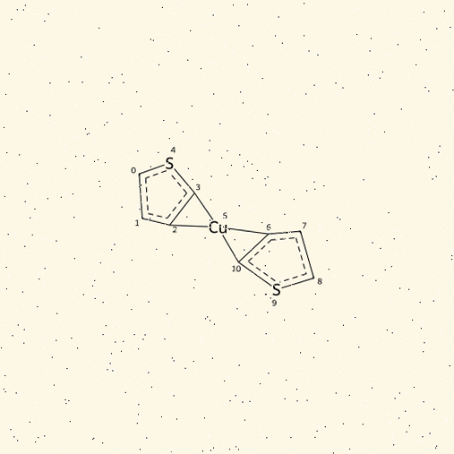 c1c[c]2[c](s1)[Cu]21[c]2ccs[c]21